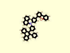 c1ccc(-c2c(-c3cccc(N(c4ccc(-c5cccc6c5oc5ccccc56)cc4)c4cccc5ccccc45)c3)c3ccccc3c3ccccc23)cc1